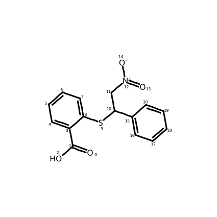 O=C(O)c1ccccc1SC(C[N+](=O)[O-])c1ccccc1